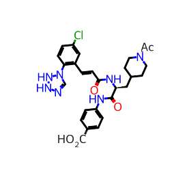 CC(=O)N1CCC(C[C@H](NC(=O)/C=C/c2cc(Cl)ccc2N2C=NNN2)C(=O)Nc2ccc(C(=O)O)cc2)CC1